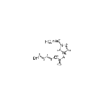 CCC=CC=COC(=O)CN1C=CN(CCCC)C1.Cl